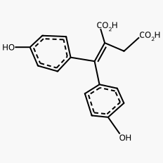 O=C(O)CC(C(=O)O)=C(c1ccc(O)cc1)c1ccc(O)cc1